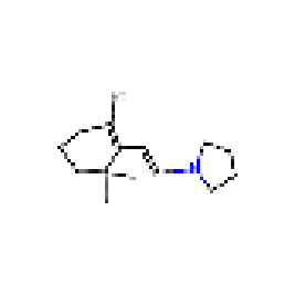 CCC1=C(C=CN2CCCC2)C(C)(C)CCC1